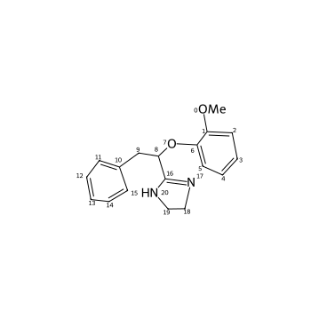 COc1ccccc1OC(Cc1ccccc1)C1=NCCN1